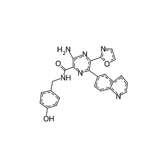 Nc1nc(-c2ncco2)c(-c2ccc3ncccc3c2)nc1C(=O)NCc1ccc(O)cc1